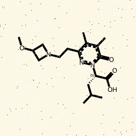 COC1CN(CCc2nn([C@@H](CC(C)C)C(=O)O)c(=O)c(C)c2C)C1